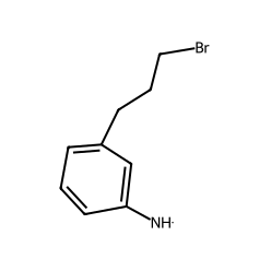 [NH]c1cccc(CCCBr)c1